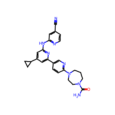 N#Cc1ccnc(Nc2cc(C3CC3)cc(-c3ccc(N4CCCN(C(N)=O)CC4)nc3)n2)c1